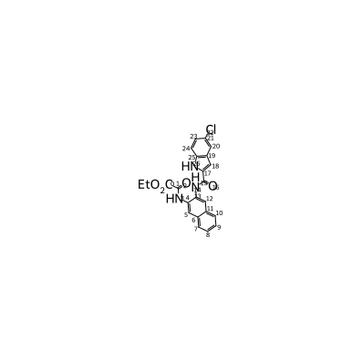 CCOC(=O)C(=O)Nc1cc2ccccc2cc1NC(=O)c1cc2cc(Cl)ccc2[nH]1